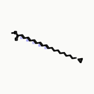 C1CC1.CCCCCCCCC/C=C/C=C/C=C/C=C/C=C/C(=O)OC